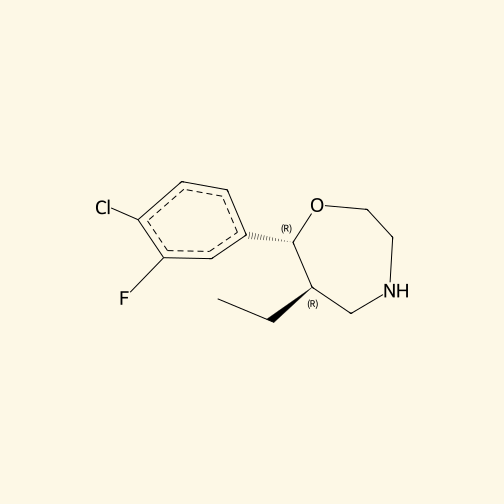 CC[C@@H]1CNCCO[C@H]1c1ccc(Cl)c(F)c1